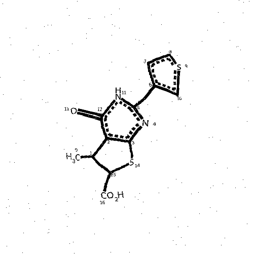 CC1c2c(nc(-c3ccsc3)[nH]c2=O)SC1C(=O)O